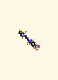 C[C@@H]1Cc2ccsc2[C@H](C)N1CCCCNC(=O)c1ccc(NS(C)(=O)=O)cc1